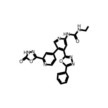 CCNC(=O)Nc1cc(-c2nnc(-c3ccccc3)o2)c(-c2ccnc(-c3n[nH]c(=O)o3)c2)cn1